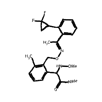 CNC(=O)C(NOC)c1cccc(C)c1CO/N=C(\C)c1ccccc1C1CC1(F)F